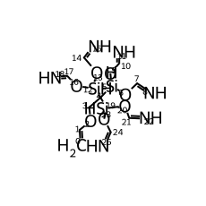 C=COCC([SiH](OC=N)OC=N)([SiH](OC=N)OC=N)[SiH](OC=N)OC=N